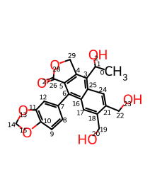 CC(O)c1c2c(c(-c3ccc4c(c3)OCO4)c3cc(CO)c(CO)cc13)C(=O)OC2